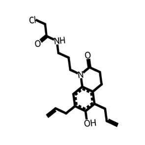 C=CCc1cc2c(c(CC=C)c1O)CCC(=O)N2CCCNC(=O)CCl